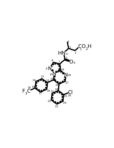 CC(CC(=O)O)NC(=O)c1cnn2c(-c3ccc(C(F)(F)F)cc3)c(-c3ccccc3Cl)cnc12